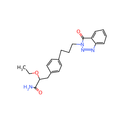 CCOC(Cc1ccc(CCCn2nnc3ccccc3c2=O)cc1)C(N)=O